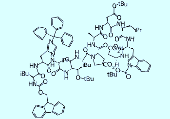 CC[C@H](C)[C@H](NC(=O)OCC1c2ccccc2-c2ccccc21)C(=O)N[C@@H](Cc1cn(C(c2ccccc2)(c2ccccc2)c2ccccc2)cn1)C(=O)N[C@H](C(=O)N[C@H](C(=O)N[C@H](C(=O)N1CCC[C@H]1C(=O)N[C@@H](C)C(=O)N[C@@H](CC(=O)OC(C)(C)C)C(=O)N[C@@H](CC(C)C)C(=O)N[C@@H](Cc1cn(C(=O)OC(C)(C)C)c2ccccc12)C(=O)N[C@@H](CC(=O)O)C(=O)O)[C@@H](C)CC)[C@@H](C)OC(C)(C)C)C(C)C